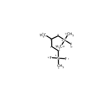 CC(CC[Si](C)(F)F)C[Si](C)(C)F